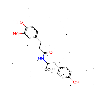 O=C(CCc1ccc(O)c(O)c1)NC(Cc1ccc(O)cc1)C(=O)O